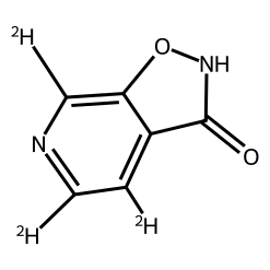 [2H]c1nc([2H])c2o[nH]c(=O)c2c1[2H]